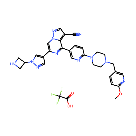 COc1ccc(CN2CCN(c3ccc(-c4nc(-c5cnn(C6CNC6)c5)cn5ncc(C#N)c45)cn3)CC2)cn1.O=C(O)C(F)(F)F